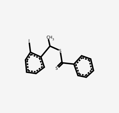 CC(SC(=S)c1ccccc1)c1ccccc1I